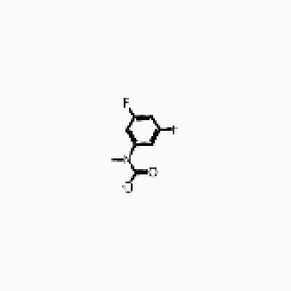 CN(C([O])=O)c1cc(F)cc(F)c1